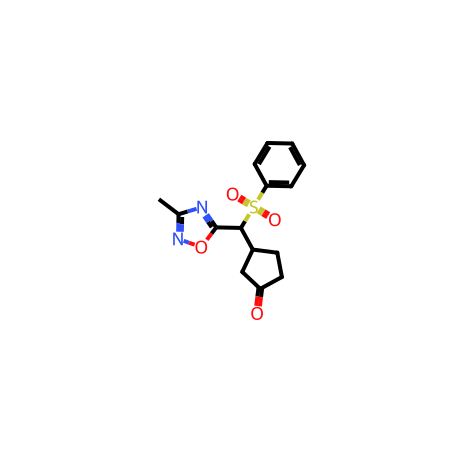 Cc1noc(C(C2CCC(=O)C2)S(=O)(=O)c2ccccc2)n1